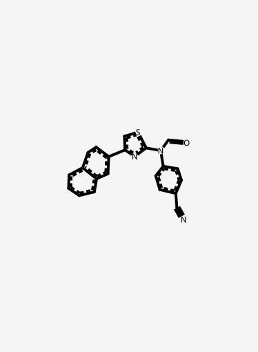 N#Cc1ccc(N(C=O)c2nc(-c3ccc4ccccc4c3)cs2)cc1